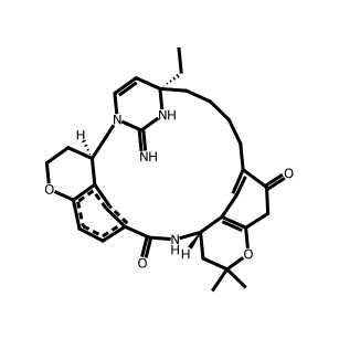 CC[C@@]12C=CN(C(=N)N1)[C@@H]1CCOc3ccc(cc31)C(=O)N[C@H]1CC(C)(C)OC3=C1C=C(CCCC2)C(=O)C3